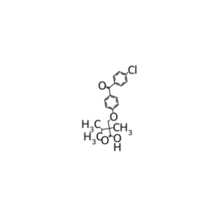 CC(C)C(C)(COc1ccc(C(=O)c2ccc(Cl)cc2)cc1)C(=O)O